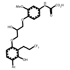 COc1cc(NC(=O)C(=O)O)ccc1OCC(O)COc1ccc(C(C)=O)c(O)c1CCC(F)(F)F